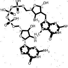 BC1C(Cn2c[n+](C)c3c(=O)[nH]c(N)nc32)[C@@H](O)O[C@@H]1COP(=O)(O)OP(=O)(O)OP(=O)(O)OC[C@H]1O[C@@H](n2cnc3c(=O)[nH]c(N)nc32)C(O)C1O